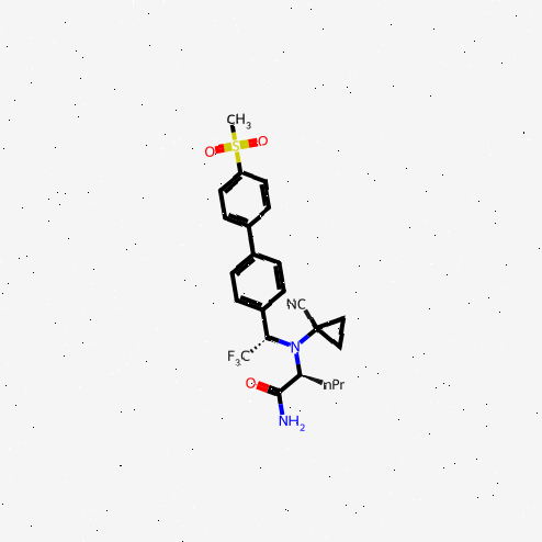 CCC[C@@H](C(N)=O)N([C@@H](c1ccc(-c2ccc(S(C)(=O)=O)cc2)cc1)C(F)(F)F)C1(C#N)CC1